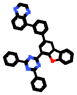 C1=C(c2cccc(-c3cccc4nccnc34)c2)CC2C(=C1c1nc(-c3ccccc3)nc(-c3ccccc3)n1)Oc1ccccc12